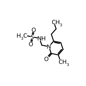 CCCc1ccc(C)c(=O)n1CNS(C)(=O)=O